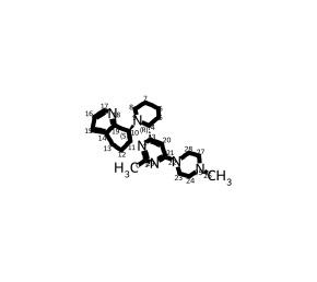 Cc1nc([C@H]2CCCCN2[C@H]2CCCc3cccnc32)cc(N2CCN(C)CC2)n1